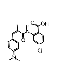 CC(=Cc1ccc(N(C)C)cc1)C(=O)Nc1cc(Cl)ccc1C(=O)O